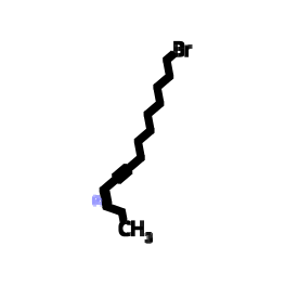 CC/C=C\C#CCCCCCCCCBr